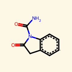 NC(=O)N1C(=O)Cc2c[c]ccc21